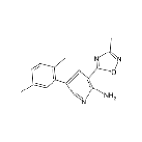 Cc1ccc(C)c(-c2cnc(N)c(-c3nc(C)no3)c2)c1